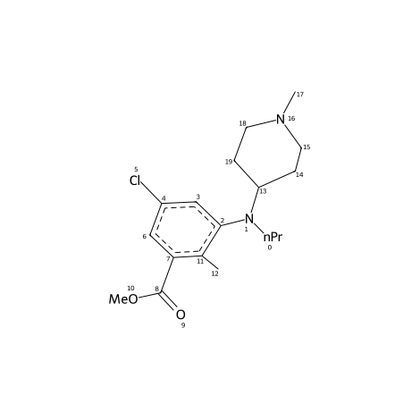 CCCN(c1cc(Cl)cc(C(=O)OC)c1C)C1CCN(C)CC1